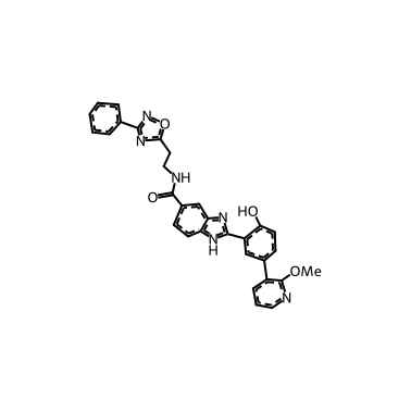 COc1ncccc1-c1ccc(O)c(-c2nc3cc(C(=O)NCCc4nc(-c5ccccc5)no4)ccc3[nH]2)c1